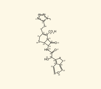 Cn1nnnc1SCC1=C(C(=O)O)N2C(=O)C(NC(=O)C(O)C3=C4C=COC=C4CC3)C2SC1